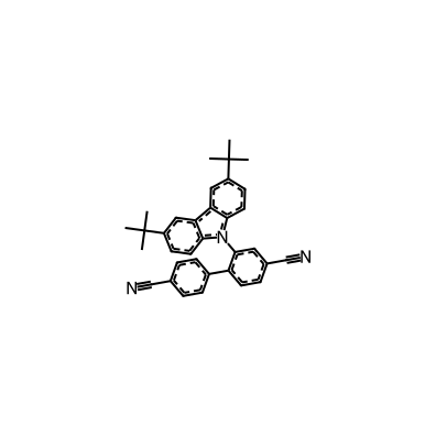 CC(C)(C)c1ccc2c(c1)c1cc(C(C)(C)C)ccc1n2-c1cc(C#N)ccc1-c1ccc(C#N)cc1